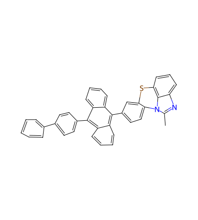 Cc1nc2cccc3c2n1-c1ccc(-c2c4ccccc4c(-c4ccc(-c5ccccc5)cc4)c4ccccc24)cc1S3